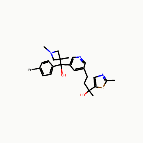 Cc1ncc(C(C)(O)CCc2cncc(C(O)(c3ccc(C(C)C)cc3)C3(C)CN(C)C3)c2)s1